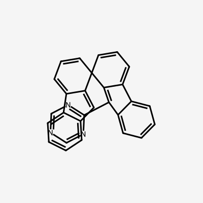 C1=CC2(C=CC=C3C2=C(c2ncncn2)c2ccccc23)C2=Cc3ccccc3C2=C1